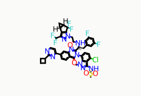 Cn1nc(NS(C)(=O)=O)c2c(Cl)ccc(-n3c([C@H](Cc4cc(F)cc(F)c4)NC(=O)Cn4nc(C(F)F)c5c4C(F)(F)[C@@H]4C[C@H]54)nc4cc(-c5ccnc(C6CCC6)n5)ccc4c3=O)c21